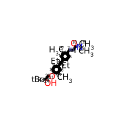 CCC(CC)(c1ccc(/C=C/C(=O)N(C)C)c(C)c1)c1ccc(OCC(O)C(C)(C)C)c(C)c1